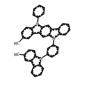 N#Cc1ccc2c(c1)c1ccccc1n2-c1cccc(-n2c3ccccc3c3cc4c(cc32)c2cc(C#N)ccc2n4-c2ccccc2)c1